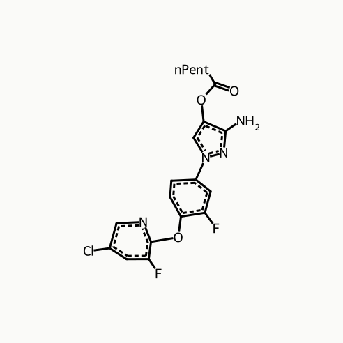 CCCCCC(=O)Oc1cn(-c2ccc(Oc3ncc(Cl)cc3F)c(F)c2)nc1N